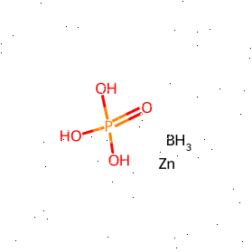 B.O=P(O)(O)O.[Zn]